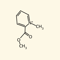 COC(=O)c1cccc[n+]1C